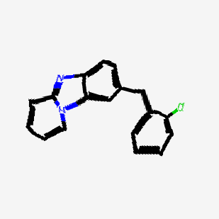 Clc1ccccc1Cc1ccc2nc3ccccn3c2c1